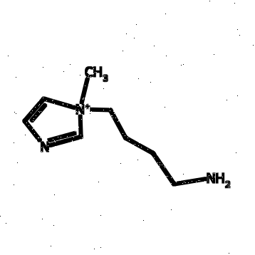 C[N+]1(CCCCN)C=CN=C1